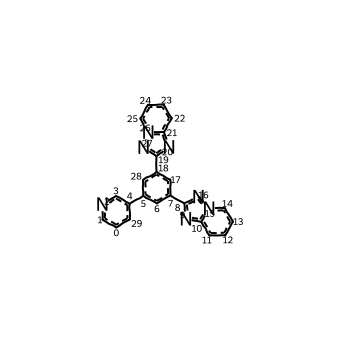 c1cncc(-c2cc(-c3nc4ccccn4n3)cc(-c3nc4ccccn4n3)c2)c1